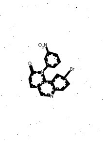 O=c1ccc2cnc3ccc(Br)cc3c2n1-c1cccc([N+](=O)[O-])c1